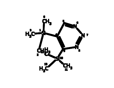 C[Si](C)(C)c1cnnnc1[Si](C)(C)C